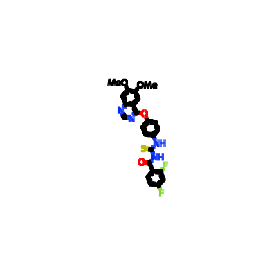 COc1cc2ncnc(Oc3ccc(NC(=S)NC(=O)c4ccc(F)cc4F)cc3)c2cc1OC